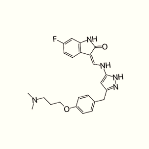 CN(C)CCCOc1ccc(Cc2cc(NC=C3C(=O)Nc4cc(F)ccc43)[nH]n2)cc1